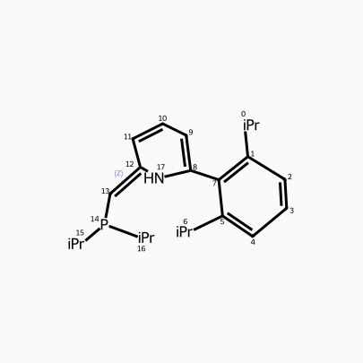 CC(C)c1cccc(C(C)C)c1C1=CC=C/C(=C/P(C(C)C)C(C)C)N1